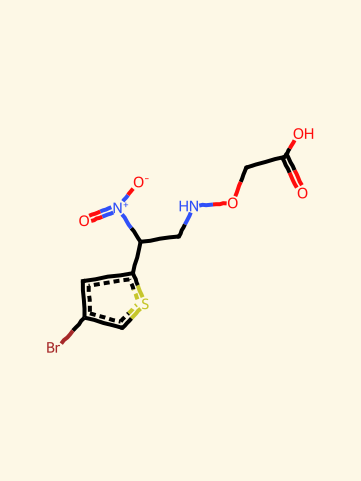 O=C(O)CONCC(c1cc(Br)cs1)[N+](=O)[O-]